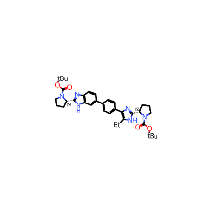 CCc1[nH]c([C@@H]2CCCN2C(=O)OC(C)(C)C)nc1-c1ccc(-c2ccc3nc([C@@H]4CCCN4C(=O)OC(C)(C)C)[nH]c3c2)cc1